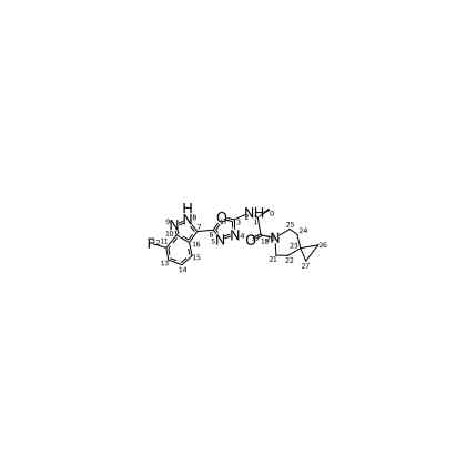 C[C@H](Nc1nnc(-c2[nH]nc3c(F)cccc23)o1)C(=O)N1CCC2(CC1)CC2